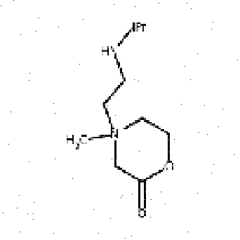 CC(C)NCC[N+]1(C)CCOC(=O)C1